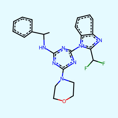 CC(Nc1nc(N2CCOCC2)nc(-n2c(C(F)F)nc3ccccc32)n1)c1ccccc1